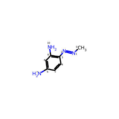 CN=Nc1ccc(N)cc1N